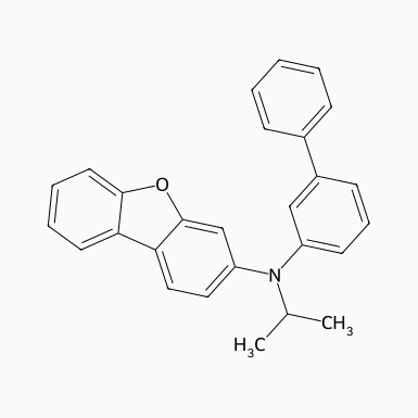 CC(C)N(c1cccc(-c2ccccc2)c1)c1ccc2c(c1)oc1ccccc12